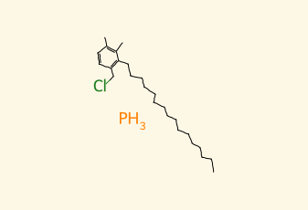 CCCCCCCCCCCCCCCCc1c(CCl)ccc(C)c1C.P